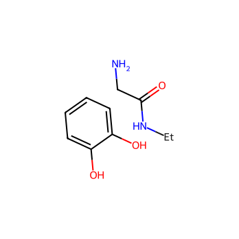 CCNC(=O)CN.Oc1ccccc1O